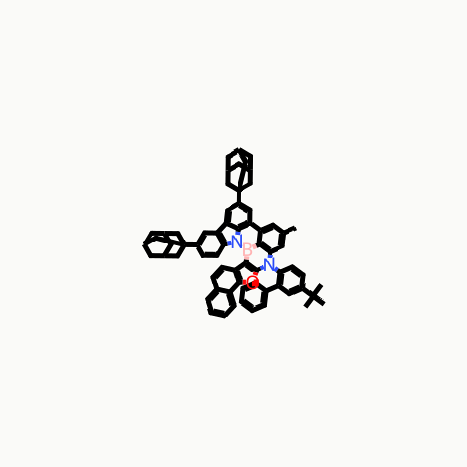 Cc1cc2c3c(c1)N(c1ccc(C(C)(C)C)cc1-c1ccccc1)c1oc4c(ccc5ccccc54)c1B3n1c3ccc(C45CC6CC(CC(C6)C4)C5)cc3c3cc(C45CC6CC(CC(C6)C4)C5)cc-2c31